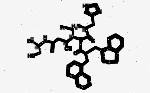 CC[C@H](C)[C@@H](CO)NC(=O)C[C@H](O)[C@H](CC(C)C)N(C(=O)C(Cc1cccc2ccccc12)Cc1cccc2ccccc12)C(=O)[C@@H](N)Cc1c[nH]cn1